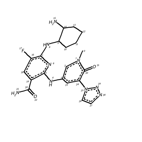 Cn1cc(Nc2nc(NC3CCCCC3N)c(F)cc2C(N)=O)cc(-n2ccnn2)c1=O